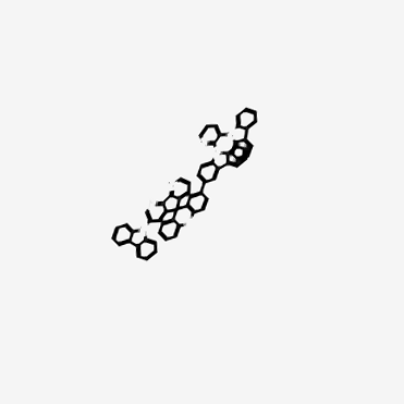 c1ccc2c(c1)Oc1ccc(-c3ccc4c(c3)c3ccccc3n4-c3ncccc3-n3c4ccccc4c4ccccc43)cc1C21c2cccnc2-c2ncc(-n3c4ccccc4c4ccccc43)cc21